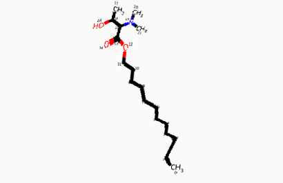 CCCCCCCCCCCCOC(=O)C(C(C)O)N(C)C